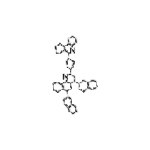 c1ccc2cc(-c3cc4c(-c5ccc6ccccc6c5)cc(-c5ccc(-c6nc7ccccc7c7ccccc67)cc5)nc4c4ccccc34)ccc2c1